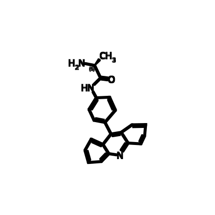 C[C@H](N)C(=O)Nc1ccc(-c2c3ccccc3nc3ccccc23)cc1